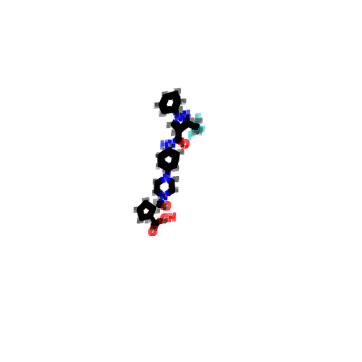 O=C(Nc1ccc(N2CCN(C(=O)[C@H]3CCC[C@@H]3C(=O)O)CC2)cc1)c1cn(-c2ccccc2)nc1C(F)(F)F